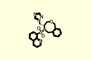 O=S(=O)(c1cccc2cccnc12)N1Cc2ccccc2COC[C@H]1Cn1cncn1